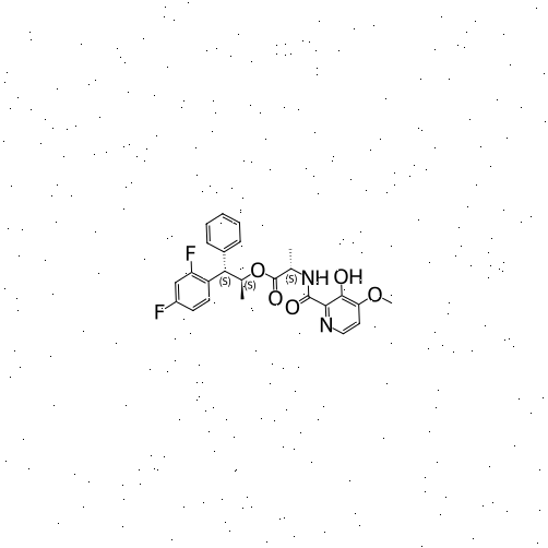 COc1ccnc(C(=O)N[C@@H](C)C(=O)O[C@@H](C)[C@@H](c2ccccc2)c2ccc(F)cc2F)c1O